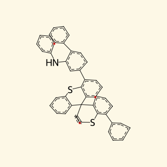 c1ccc(Nc2cc(-c3cccc4c3Sc3ccccc3C43c4ccccc4Sc4c(-c5ccccc5)cccc43)ccc2-c2ccccc2)cc1